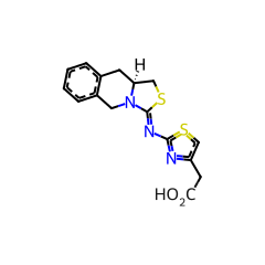 O=C(O)Cc1csc(N=C2SC[C@@H]3Cc4ccccc4CN23)n1